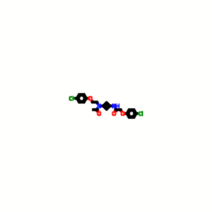 CC(=O)N(CCOc1ccc(Cl)cc1)C12CC(NC(=O)COc3ccc(Cl)cc3)(C1)C2